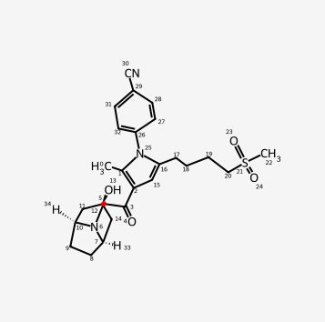 Cc1c(C(=O)CN2[C@@H]3CC[C@H]2C[C@@H](O)C3)cc(CCCCS(C)(=O)=O)n1-c1ccc(C#N)cc1